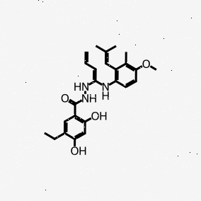 C=C/C=C(\NNC(=O)c1cc(CC)c(O)cc1O)Nc1ccc(OC)c(C)c1C=C(C)C